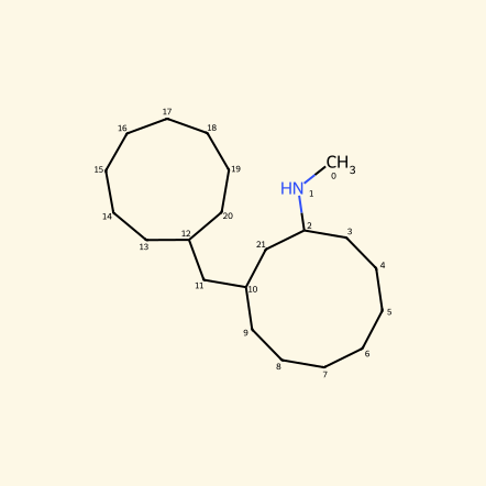 CNC1CCCCCCCC(CC2CCCCCCCC2)C1